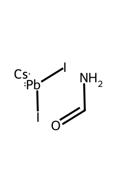 NC=O.[Cs].[I][Pb][I]